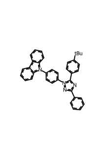 CC(C)(C)c1ccc(-c2nc(-c3ccccc3)nn2-c2ccc(-n3c4ccccc4c4ccccc43)cc2)cc1